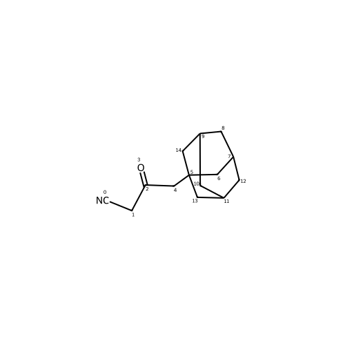 N#CCC(=O)CC12CC3CC(CC(C3)C1)C2